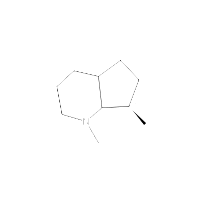 C[C@@H]1CCC2CCCN(C)C21